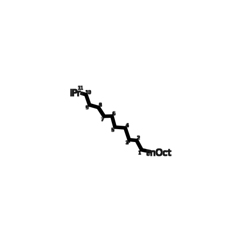 CCCCCCCCCC[CH]CCCCCCCC(C)C